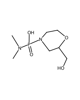 CN(C)P(=O)(O)N1CCOC(CO)C1